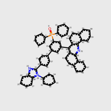 O=P(c1ccccc1)(c1ccccc1)c1cc(-c2ccc(-c3nc4ccccc4n3-c3ccccc3)cc2)cc(-c2c3ccc4ccccc4c3nc3c2ccc2ccccc23)c1